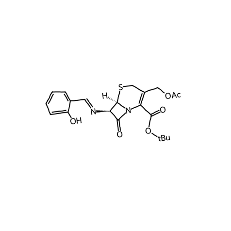 CC(=O)OCC1=C(C(=O)OC(C)(C)C)N2C(=O)[C@@H](N=Cc3ccccc3O)[C@H]2SC1